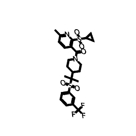 Cc1ccc(C(=O)N2CCC(C(C)(C)S(=O)(=O)c3cccc(C(F)(F)F)c3)CC2)c(S(=O)(=O)C2CC2)n1